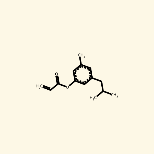 C=CC(=O)Oc1cc(C)cc(CC(C)C)c1